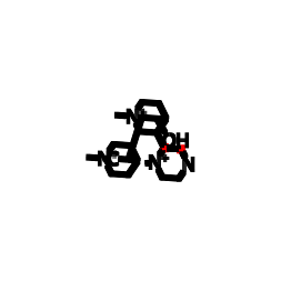 C[N+]12CCC(CC1)C(C1C(O)C3CC[N+]1(C)CC3C1CN3CC[N+]1(C)CC3)C2